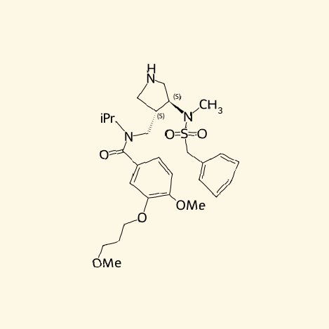 COCCCOc1cc(C(=O)N(C[C@@H]2CNC[C@H]2N(C)S(=O)(=O)Cc2ccccc2)C(C)C)ccc1OC